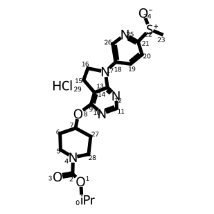 CC(C)OC(=O)N1CCC(Oc2ncnc3c2CCN3c2ccc([S+](C)[O-])nc2)CC1.Cl